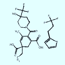 CCC1(C(=O)O)C=C(C)C(C(=O)N2CCC(O)(C(F)(F)F)CC2)=C(C(=O)O)C1.FC(F)(F)CCc1cccs1